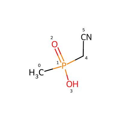 CP(=O)(O)CC#N